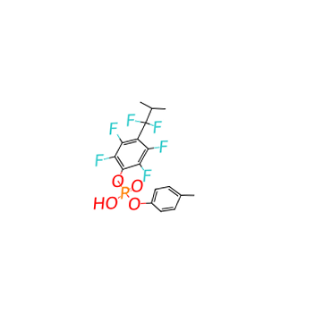 Cc1ccc(OP(=O)(O)Oc2c(F)c(F)c(C(F)(F)C(C)C)c(F)c2F)cc1